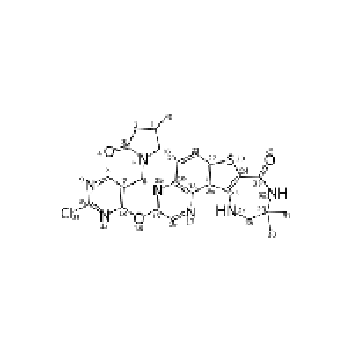 CC1CC(=O)N(Cc2cnc(Cl)nc2Oc2cnc3c(ccc4sc5c(c43)NCC(C)(C)NC5=O)n2)C1